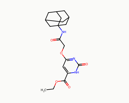 CCOC(=O)c1cc(OCC(=O)NC23CC4CC(CC(C4)C2)C3)nc(=O)[nH]1